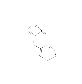 O=C1C=NN=C1[N]c1ccccc1